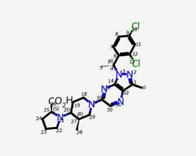 Cc1nn([C@H](C)c2ccc(Cl)cc2Cl)c2nc(N3CCC(N4CCC[C@H]4C(=O)O)[C@H](C)C3)cnc12